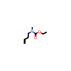 C=CCCN(C)C(=O)OCC